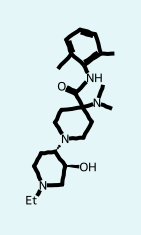 CCN1CC[C@H](N2CCC(C(=O)Nc3c(C)cccc3C)(N(C)C)CC2)[C@@H](O)C1